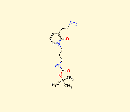 CC(C)(C)OC(=O)NCCCn1cccc(CCN)c1=O